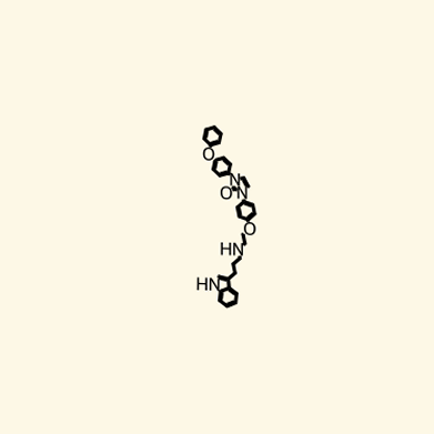 O=c1n(-c2ccc(OCCNCCCc3c[nH]c4ccccc34)cc2)ccn1-c1ccc(Oc2ccccc2)cc1